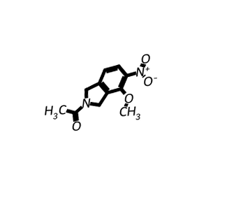 COc1c([N+](=O)[O-])ccc2c1CN(C(C)=O)C2